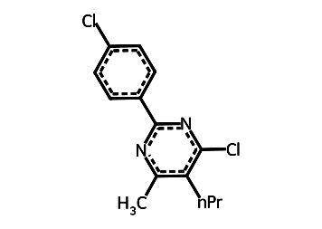 CCCc1c(C)nc(-c2ccc(Cl)cc2)nc1Cl